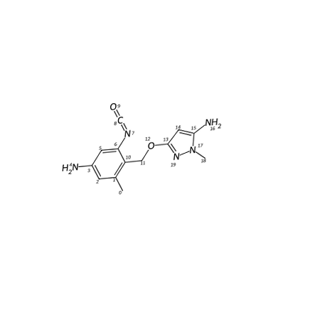 Cc1cc(N)cc(N=C=O)c1COc1cc(N)n(C)n1